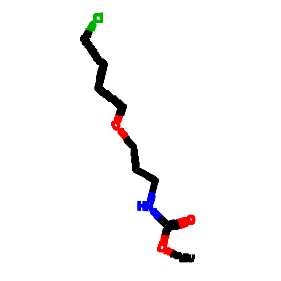 CC(C)(C)OC(=O)NCCCOCCCCCl